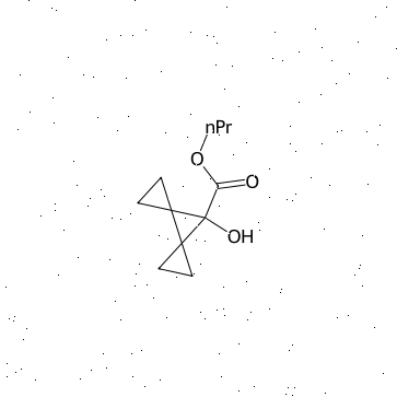 CCCOC(=O)C1(O)C2(CC2)C12CC2